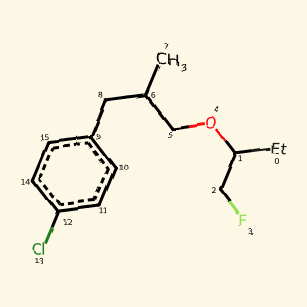 CCC(CF)OCC(C)Cc1ccc(Cl)cc1